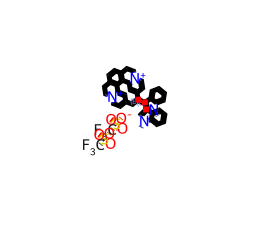 Cn1cc(/C=C/c2cc[n+]3c(c2)-c2c(ccc4c2-c2cc(/C=C/c5cn(C)c6ccccc56)cc[n+]2CC4)CC3)c2ccccc21.O=S(=O)([O-])C(F)(F)F.O=S(=O)([O-])C(F)(F)F